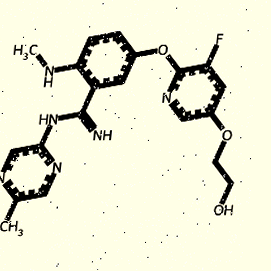 CNc1ccc(Oc2ncc(OCCO)cc2F)cc1C(=N)Nc1cnc(C)cn1